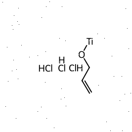 C=CC[O][Ti].Cl.Cl.Cl